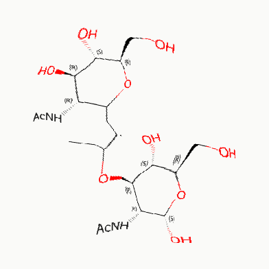 CC(=O)N[C@@H]1[C@@H](OC(C)[CH]C2O[C@H](CO)[C@@H](O)[C@H](O)[C@H]2NC(C)=O)[C@H](O)[C@@H](CO)O[C@@H]1O